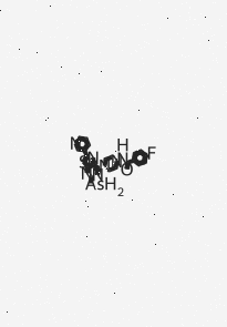 O=C(NN1CCN(c2nc([AsH2])nc3sc(-c4cccnc4)nc23)CC1)c1ccc(F)cc1